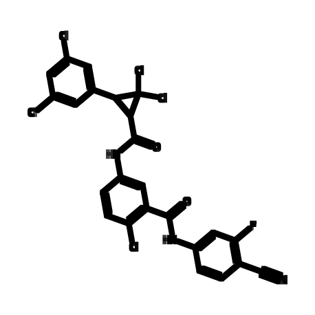 N#Cc1ccc(NC(=O)c2cc(NC(=O)C3C(c4cc(Cl)cc(Cl)c4)C3(Cl)Cl)ccc2Cl)cc1F